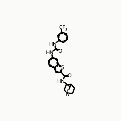 O=C(Nc1cccc(C(F)(F)F)c1)Nc1ccc2cc(C(=O)NC3CN4CCC3CC4)sc2c1